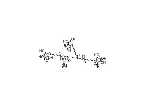 CC(=O)NC1[C@H](OCCCCCC(=O)NCCCN(CCCCN(CCCNC(=O)CCCCCO[C@@H]2OC(CO)[C@H](O)[C@H](O)C2NC(C)=O)C(=O)C(O)COP(C)(=O)O)C(=O)CCCCCO[C@@H]2OC(CO)[C@H](O)[C@H](O)C2NC(C)=O)OC(CO)[C@H](O)[C@@H]1O